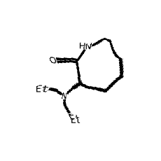 CCN(CC)C1CCCCNC1=O